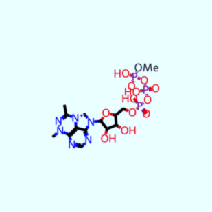 COP(=O)(O)OP(=O)(O)OP(=O)(O)OCC1OC(n2c[n+]3c4c(ncnc42)N(C)N=C3C)C(O)C1O